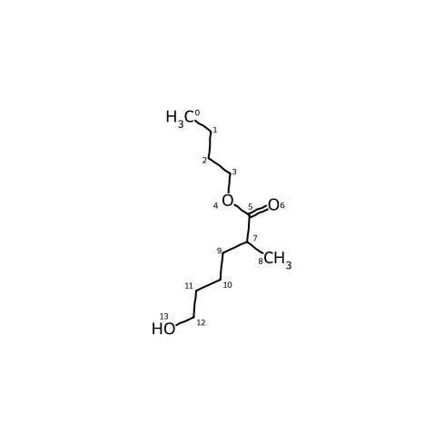 CCCCOC(=O)C(C)CCCCO